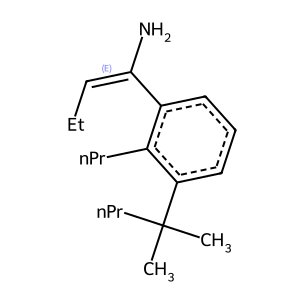 CC/C=C(/N)c1cccc(C(C)(C)CCC)c1CCC